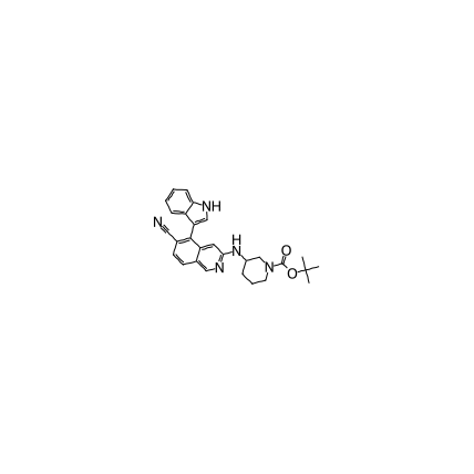 CC(C)(C)OC(=O)N1CCCC(Nc2cc3c(-c4c[nH]c5ccccc45)c(C#N)ccc3cn2)C1